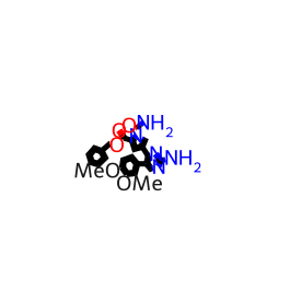 COc1ccc(-c2cnc(N)nc2-c2cc(C(=O)OCc3ccccc3)n(C(N)=O)c2)cc1OC